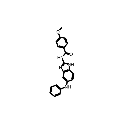 COc1ccc(C(=O)Nc2nc3cc(Nc4ccccc4)ccc3[nH]2)cc1